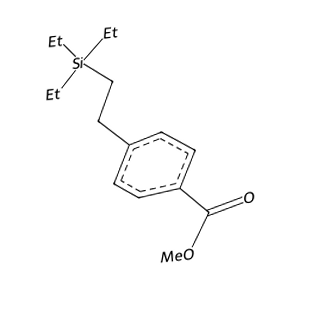 CC[Si](CC)(CC)CCc1ccc(C(=O)OC)cc1